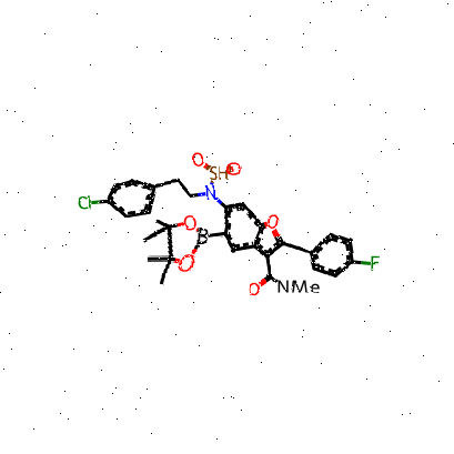 CNC(=O)c1c(-c2ccc(F)cc2)oc2cc(N(CCc3ccc(Cl)cc3)[SH](=O)=O)c(B3OC(C)(C)C(C)(C)O3)cc12